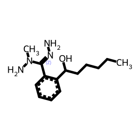 CCCCCC(O)c1ccccc1/C(=N/N)N(C)N